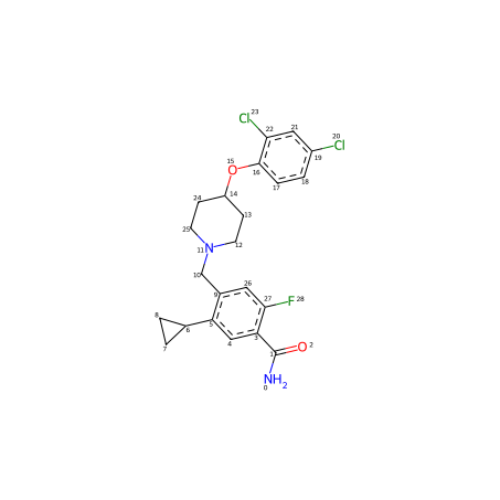 NC(=O)c1cc(C2CC2)c(CN2CCC(Oc3ccc(Cl)cc3Cl)CC2)cc1F